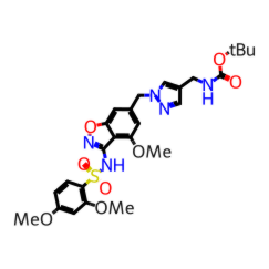 COc1ccc(S(=O)(=O)Nc2noc3cc(Cn4cc(CNC(=O)OC(C)(C)C)cn4)cc(OC)c23)c(OC)c1